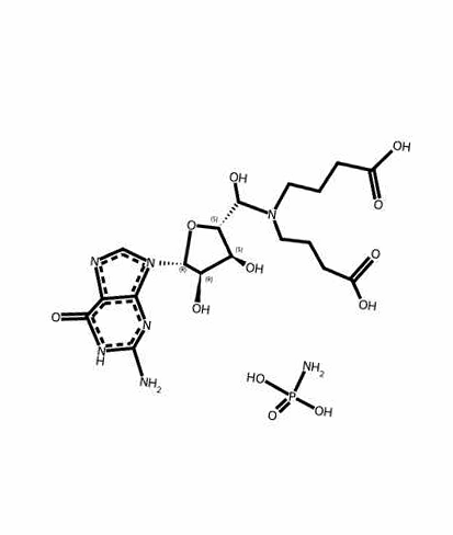 NP(=O)(O)O.Nc1nc2c(ncn2[C@@H]2O[C@H](C(O)N(CCCC(=O)O)CCCC(=O)O)[C@@H](O)[C@H]2O)c(=O)[nH]1